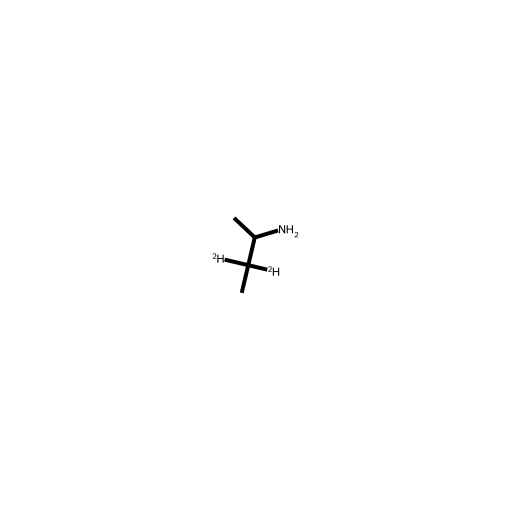 [2H]C([2H])(C)C(C)N